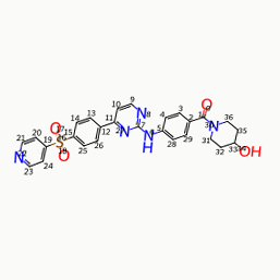 O=C(c1ccc(Nc2nccc(-c3ccc(S(=O)(=O)c4ccncc4)cc3)n2)cc1)N1CCC(O)CC1